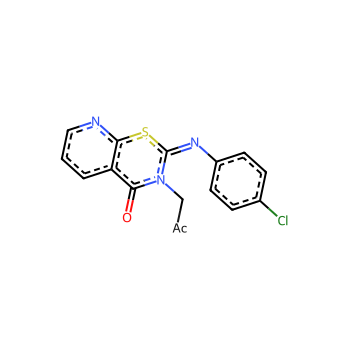 CC(=O)Cn1c(=Nc2ccc(Cl)cc2)sc2ncccc2c1=O